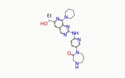 CC[C@@H](O)c1cc2cnc(Nc3ccc(N4CCCNCC4=O)cn3)nc2c(N2CCCCC2)n1